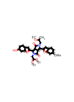 CCOC(C)CN1C(=O)C2=C(c3cc4ccc(O)cc4o3)N(CC(OCC)OCC)C(=O)C2=C1c1cc2ccc(OC)cc2o1